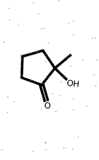 CC1(O)CCCC1=O